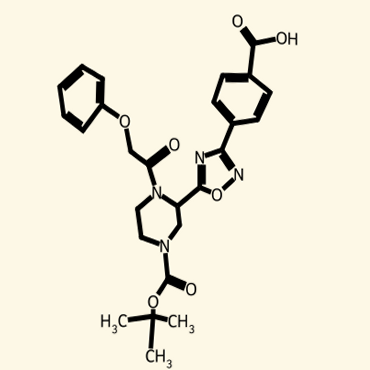 CC(C)(C)OC(=O)N1CCN(C(=O)COc2ccccc2)C(c2nc(-c3ccc(C(=O)O)cc3)no2)C1